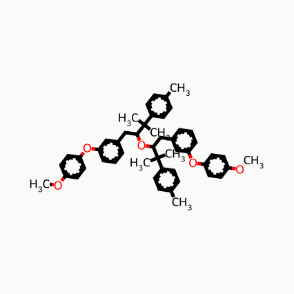 COc1ccc(Oc2cccc(CC(OC(Cc3cccc(Oc4ccc(OC)cc4)c3)C(C)(C)c3ccc(C)cc3)C(C)(C)c3ccc(C)cc3)c2)cc1